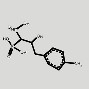 Nc1ccc(CC(O)C([PH](=O)O)P(=O)(O)O)cc1